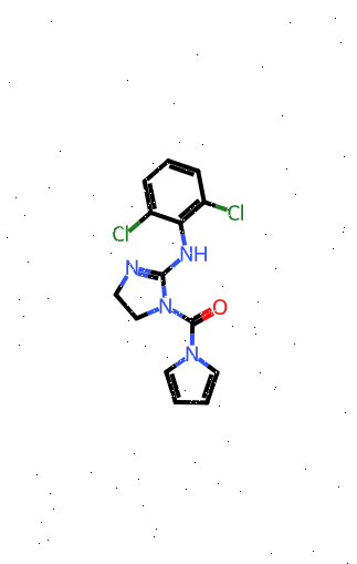 O=C(N1CCN=C1Nc1c(Cl)cccc1Cl)n1cccc1